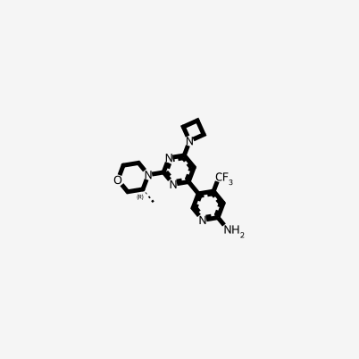 C[C@@H]1COCCN1c1nc(-c2cnc(N)cc2C(F)(F)F)cc(N2CCC2)n1